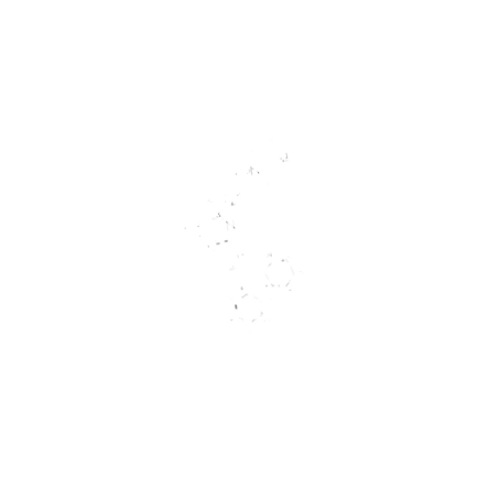 O=C(N[C@]1(C(=O)O)C[C@H]1CCN1CCOCC1)OCC1c2ccccc2-c2ccccc21